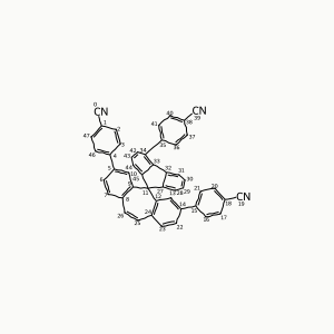 N#Cc1ccc(-c2ccc3c(c2)C2(c4cc(-c5ccc(C#N)cc5)ccc4C=C3)c3ccccc3-c3c(-c4ccc(C#N)cc4)cccc32)cc1